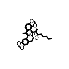 C=C(C(=O)CCCCC)c1c2c3c(ccc2c(C)c2[n+]1CCc1cc4c(cc1-2)OCO4)OCO3